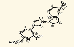 CC(=O)Nc1ccc(-c2cnn(C3CCc4cc(Br)cnc43)c2)c(F)n1